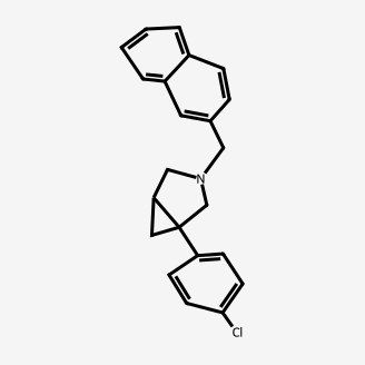 Clc1ccc(C23CC2CN(Cc2ccc4ccccc4c2)C3)cc1